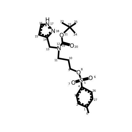 Cc1ccc(S(=O)(=O)OCCCN(Cc2cc[nH]n2)C(=O)OC(C)(C)C)cc1